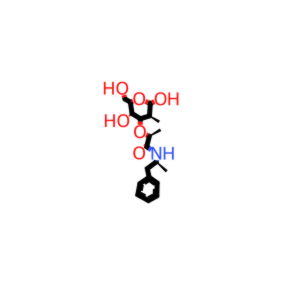 C[C@@H]1C(O)OC(CO)[C@@H](O)C1O[C@@H](C)C(=O)N[C@@H](C)Cc1ccccc1